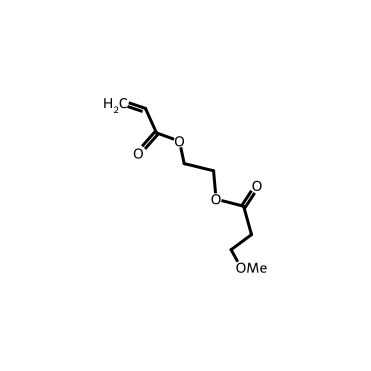 C=CC(=O)OCCOC(=O)CCOC